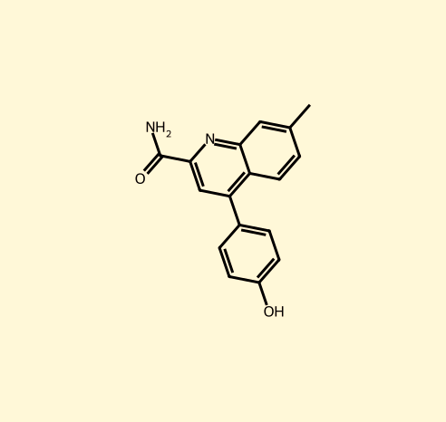 Cc1ccc2c(-c3ccc(O)cc3)cc(C(N)=O)nc2c1